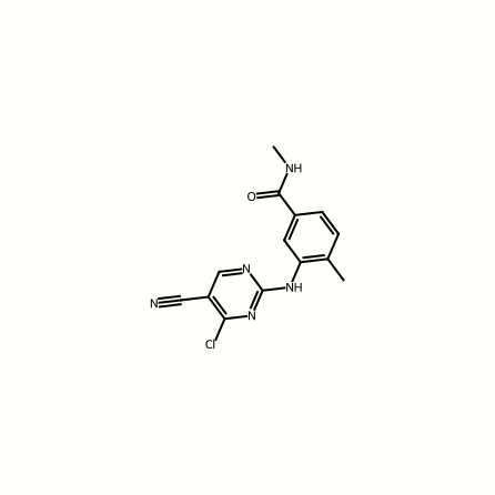 CNC(=O)c1ccc(C)c(Nc2ncc(C#N)c(Cl)n2)c1